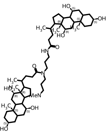 CNCCCN(CCCNC(=O)CCC(C)C1CCC2C3C(C[C@@H](O)[C@]12C)[C@@]1(C)CC[C@H](O)CC1C[C@@H]3O)C(=O)CCC(C)C1CCC2C3C(C[C@@H](O)[C@]12C)[C@@]1(C)CC[C@H](O)CC1C[C@@H]3O